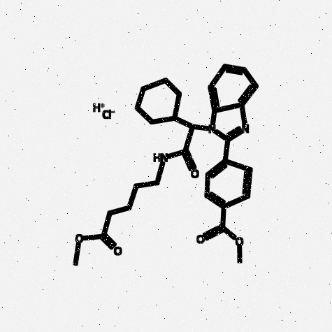 COC(=O)CCCCNC(=O)C(C1CCCCC1)n1c(-c2ccc(C(=O)OC)cc2)nc2ccccc21.[Cl-].[H+]